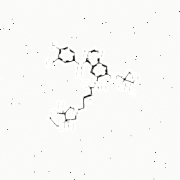 CC1(COc2cc3ncnc(Nc4ccc(F)c(Cl)c4)c3cc2NC(=O)/C=C/CN2C[C@@H]3OCCO[C@@H]3C2)COC1